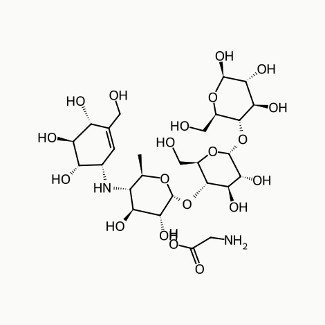 C[C@H]1O[C@H](O[C@H]2[C@H](O)[C@@H](O)[C@@H](O[C@H]3[C@H](O)[C@@H](O)[C@H](O)O[C@@H]3CO)O[C@@H]2CO)[C@H](O)[C@@H](O)[C@@H]1N[C@H]1C=C(CO)[C@@H](O)[C@H](O)[C@H]1O.NCC(=O)O